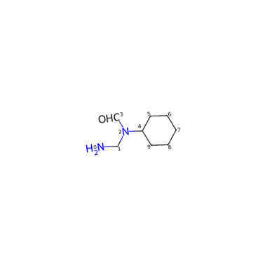 NCN(C=O)C1CCCCC1